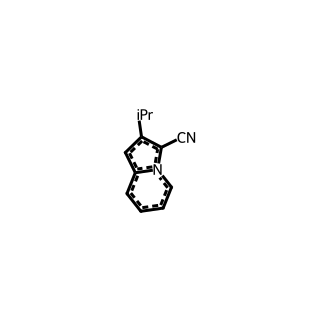 CC(C)c1cc2ccccn2c1C#N